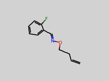 C=CCCON=[C]c1ccccc1F